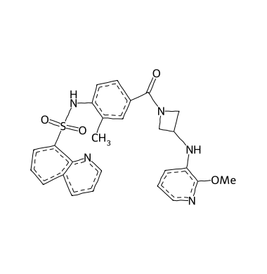 COc1ncccc1NC1CN(C(=O)c2ccc(NS(=O)(=O)c3cccc4cccnc34)c(C)c2)C1